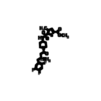 COC(=O)c1cc(C)c(S(=O)(=O)NC2CCN(C(=O)C[C@H](N)Cc3cc(F)c(F)cc3F)CC2)s1